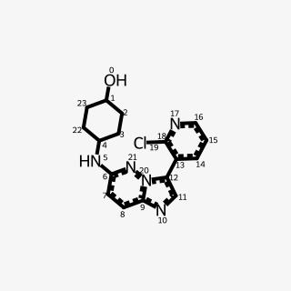 OC1CCC(Nc2ccc3ncc(-c4cccnc4Cl)n3n2)CC1